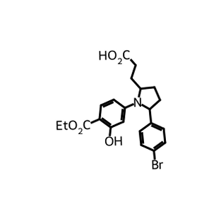 CCOC(=O)c1ccc(N2C(CCC(=O)O)CCC2c2ccc(Br)cc2)cc1O